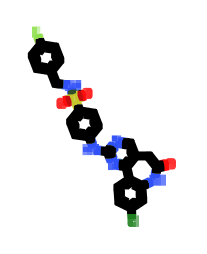 O=C1Cc2cnc(Nc3ccc(S(=O)(=O)NCc4ccc(F)cc4)cc3)nc2-c2ccc(Cl)cc2N1